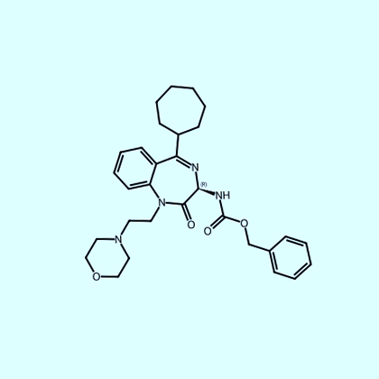 O=C(N[C@@H]1N=C(C2CCCCCC2)c2ccccc2N(CCN2CCOCC2)C1=O)OCc1ccccc1